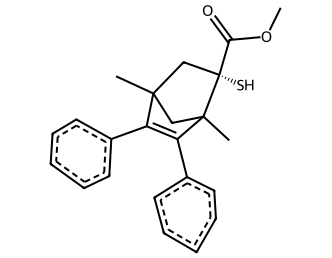 COC(=O)[C@]1(S)CC2(C)CC1(C)C(c1ccccc1)=C2c1ccccc1